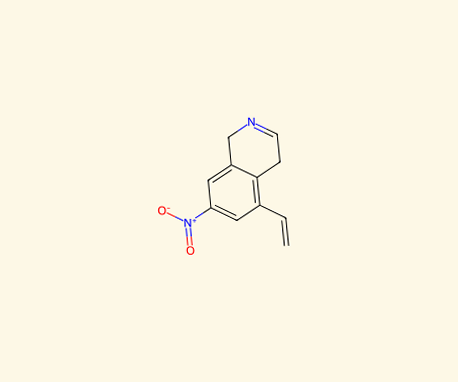 C=Cc1cc([N+](=O)[O-])cc2c1CC=NC2